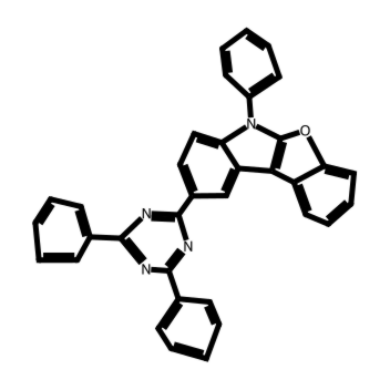 c1ccc(-c2nc(-c3ccccc3)nc(-c3ccc4c(c3)c3c5ccccc5oc3n4-c3ccccc3)n2)cc1